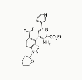 CCOC(=O)c1nc(-c2cccnc2)cc(-c2c(C(F)F)ccc3c2cnn3C2CCCCO2)c1N